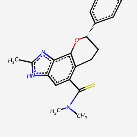 Cc1nc2c3c(c(C(=S)N(C)C)cc2[nH]1)CC[C@@H](c1ccccc1)O3